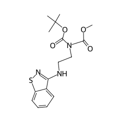 COC(=O)N(CCNc1nsc2ccccc12)C(=O)OC(C)(C)C